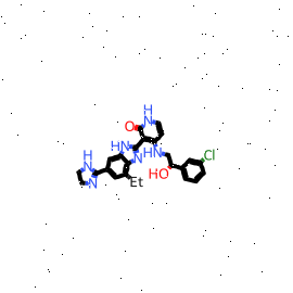 CCc1cc(C2=NCCN2)cc2[nH]c(-c3c(NCC(O)c4cccc(Cl)c4)cc[nH]c3=O)nc12